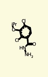 CC(C)Oc1c(Cl)ccc(C(=O)NN)c1Cl